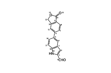 O=Cc1cc2cc(-c3ccc4c(c3)COC4=O)ccc2[nH]1